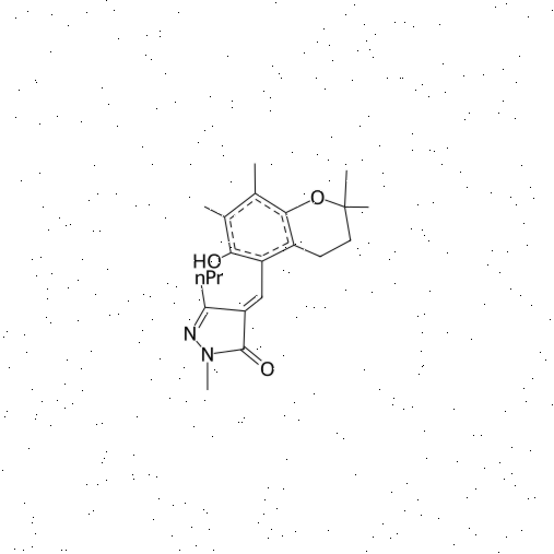 CCCC1=NN(C)C(=O)/C1=C/c1c(O)c(C)c(C)c2c1CCC(C)(C)O2